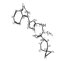 C[C@@H](Nc1nnc(-c2[nH]nc3ccccc23)o1)C(=O)N1CCC2(CC1)CC2